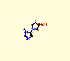 Cn1cncc1N1CCC(O)C1